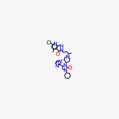 Cc1cc(Cl)nc(C)c1C(=O)NCCC(C)N1CCC(N2C(=O)N(C3CCCCC3)CC2c2nccn2C)CC1